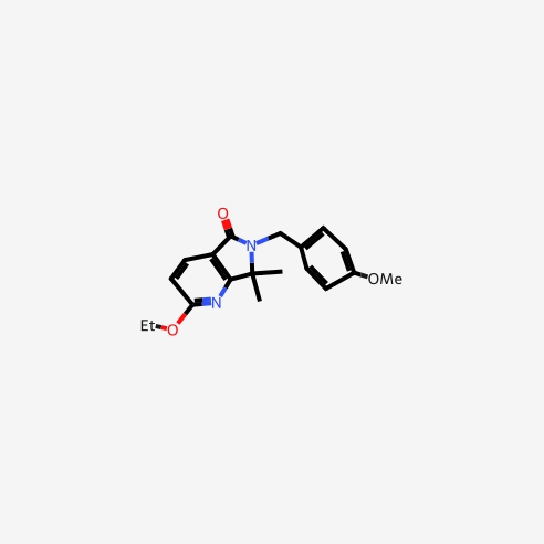 CCOc1ccc2c(n1)C(C)(C)N(Cc1ccc(OC)cc1)C2=O